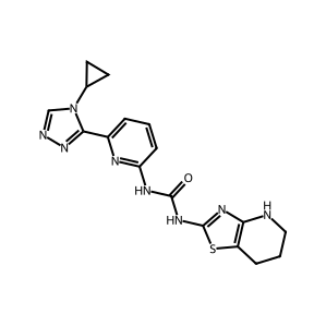 O=C(Nc1cccc(-c2nncn2C2CC2)n1)Nc1nc2c(s1)CCCN2